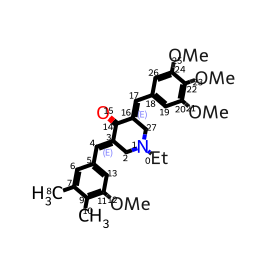 CCN1C/C(=C\c2cc(C)c(C)c(OC)c2)C(=O)/C(=C/c2cc(OC)c(OC)c(OC)c2)C1